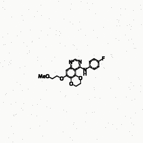 COCCOc1cc2ncnc(Nc3ccc(F)cc3)c2c2c1OCCO2